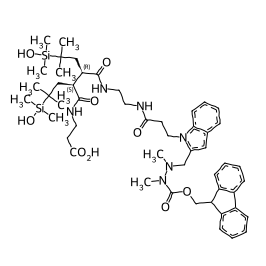 CN(Cc1cc2ccccc2n1CCC(=O)NCCNC(=O)[C@H](CC(C)(C)[Si](C)(C)O)[C@H](CC(C)(C)[Si](C)(C)O)C(=O)NCCC(=O)O)N(C)C(=O)OCC1c2ccccc2-c2ccccc21